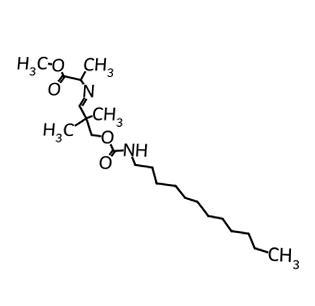 CCCCCCCCCCCCNC(=O)OCC(C)(C)/C=N/C(C)C(=O)OC